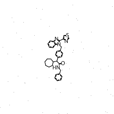 O=C(NCc1ccccc1)C(c1ccc(Cn2c(-c3cscn3)nc3ccccc32)cc1)C1CCCCCC1